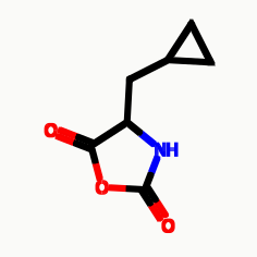 O=C1NC(CC2CC2)C(=O)O1